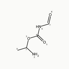 CC(N)OC(=O)NC=O